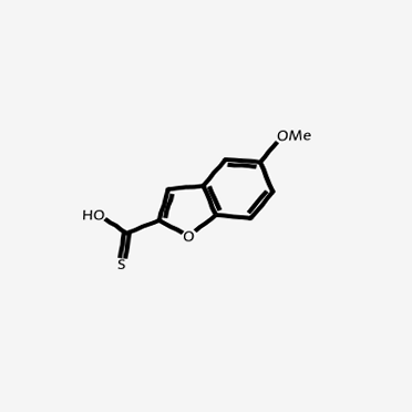 COc1ccc2oc(C(O)=S)cc2c1